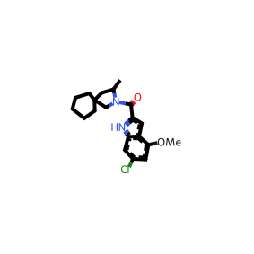 COc1cc(Cl)cc2[nH]c(C(=O)N3CC4(CCCCC4)CC3C)cc12